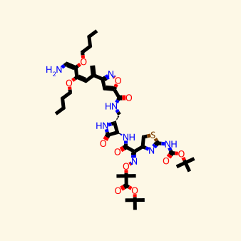 C=C(/C=C(OCCCC)\C(=C/N)OCCCC)c1cc(C(=O)NC[C@H]2NC(=O)[C@H]2NC(=O)/C(=N\OC(C)(C)C(=O)OC(C)(C)C)C2CSC(NC(=O)OC(C)(C)C)=N2)on1